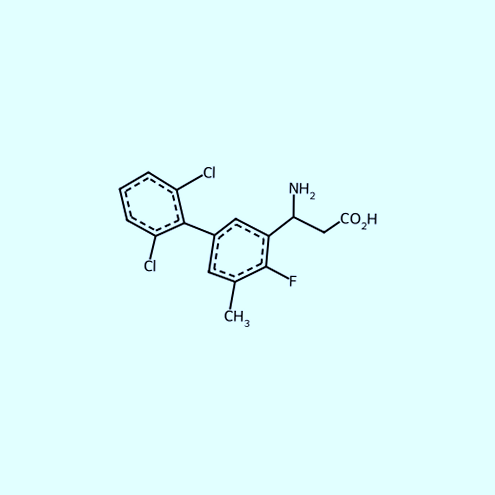 Cc1cc(-c2c(Cl)cccc2Cl)cc(C(N)CC(=O)O)c1F